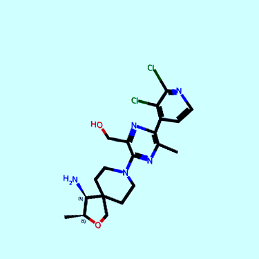 Cc1nc(N2CCC3(CC2)CO[C@@H](C)[C@H]3N)c(CO)nc1-c1ccnc(Cl)c1Cl